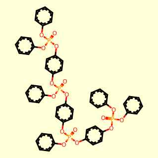 O=P(Oc1ccccc1)(Oc1ccccc1)Oc1ccc(OP(=O)(Oc2ccccc2)Oc2ccc(OP(=O)(Oc3ccccc3)Oc3ccc(OP(=O)(Oc4ccccc4)Oc4ccccc4)cc3)cc2)cc1